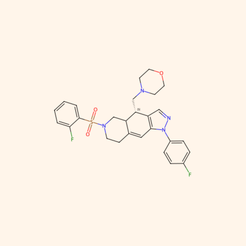 O=S(=O)(c1ccccc1F)N1CCC2=Cc3c(cnn3-c3ccc(F)cc3)[C@@H](CN3CCOCC3)C2C1